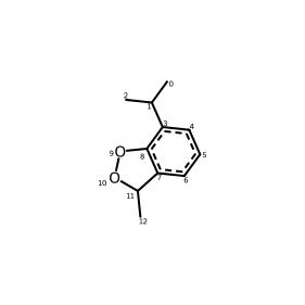 CC(C)c1cccc2c1OOC2C